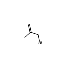 C=C(C)[CH2][Ni]